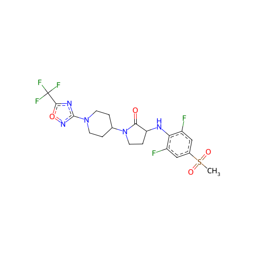 CS(=O)(=O)c1cc(F)c(NC2CCN(C3CCN(c4noc(C(F)(F)F)n4)CC3)C2=O)c(F)c1